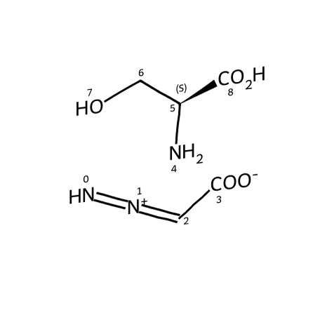 N=[N+]=CC(=O)[O-].N[C@@H](CO)C(=O)O